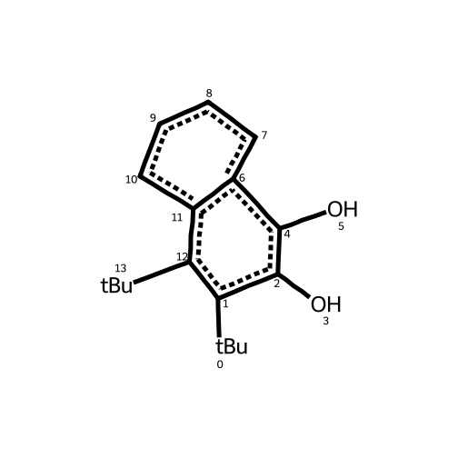 CC(C)(C)c1c(O)c(O)c2ccccc2c1C(C)(C)C